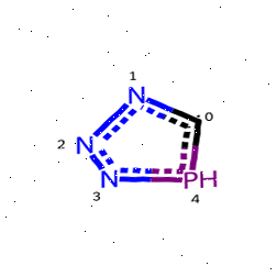 [c]1nnn[pH]1